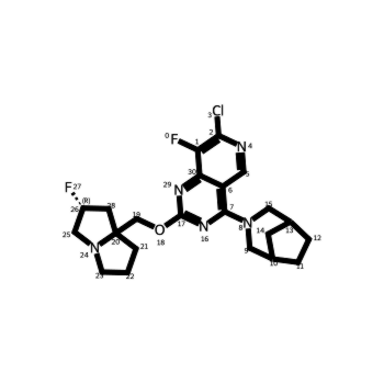 Fc1c(Cl)ncc2c(N3CC4CCC(C4)C3)nc(OCC34CCCN3C[C@H](F)C4)nc12